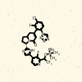 CC(C)(C)[Si](C)(C)OC(c1nccc(-c2cnc([C@@H]3CCC4CC(c5c(-n6cnnn6)ccc(Cl)c5F)=CC(=O)N43)[nH]2)c1F)C(F)(F)F